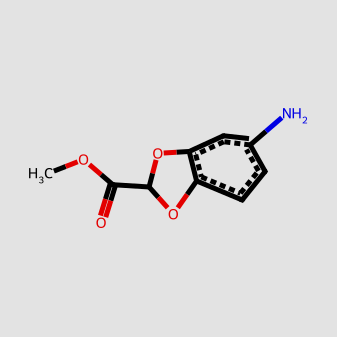 COC(=O)C1Oc2ccc(N)cc2O1